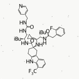 CCC(C)[C@H](NC(=O)Cc1ccccc1F)C(N[C@]1(C(=O)N[C@H](CNC(=O)NCc2ccncc2)C(C)CC)CCc2[nH]c3c(C(F)(F)F)cccc3c2C1)=C1CC1